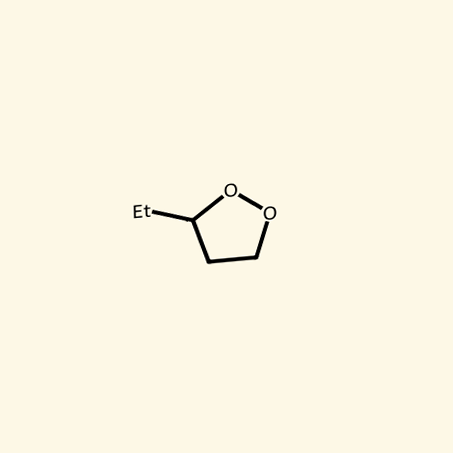 CC[C]1CCOO1